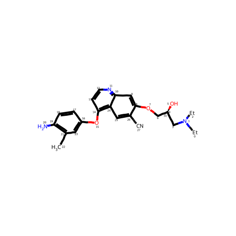 CCN(CC)C[C@H](O)COc1cc2nccc(Oc3ccc(N)c(C)c3)c2cc1C#N